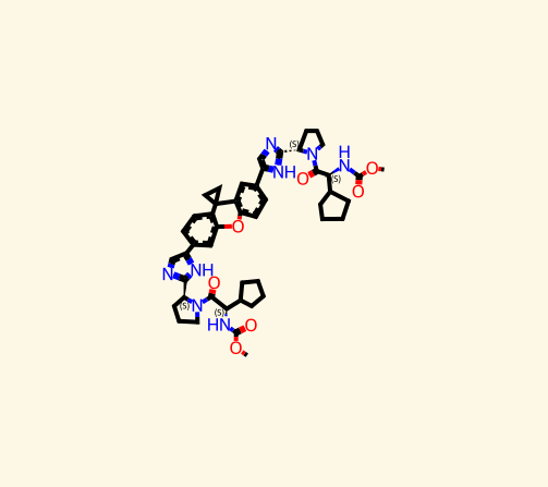 COC(=O)N[C@H](C(=O)N1CCC[C@H]1c1ncc(-c2ccc3c(c2)Oc2ccc(-c4cnc([C@@H]5CCCN5C(=O)[C@@H](NC(=O)OC)C5CCCC5)[nH]4)cc2C32CC2)[nH]1)C1CCCC1